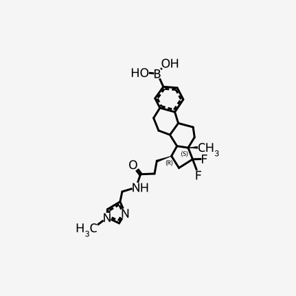 Cn1cnc(CNC(=O)CC[C@@H]2CC(F)(F)[C@@]3(C)CCC4c5ccc(B(O)O)cc5CCC4C23)c1